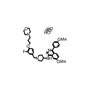 COc1ccc(-c2nnc(NC3CCN(Cc4ccc(OCCCN5CCOCC5)c(F)c4)CC3)c3cc(OC)ccc23)cc1.Cl.Cl.Cl